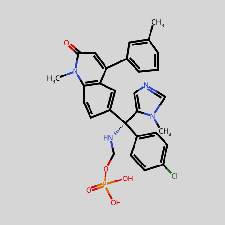 Cc1cccc(-c2cc(=O)n(C)c3ccc([C@](NCOP(=O)(O)O)(c4ccc(Cl)cc4)c4cncn4C)cc23)c1